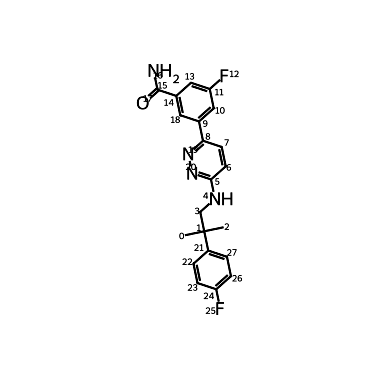 CC(C)(CNc1ccc(-c2cc(F)cc(C(N)=O)c2)nn1)c1ccc(F)cc1